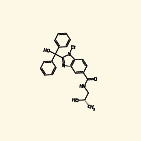 CCn1c(C(O)(c2ccccc2)c2ccccc2)nc2cc(C(=O)NC[C@H](C)O)ccc21